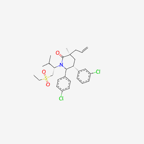 C=CC[C@@]1(C)C[C@H](c2cccc(Cl)c2)C(c2ccc(Cl)cc2)N([C@H](CS(=O)(=O)CC)C(C)C)C1=O